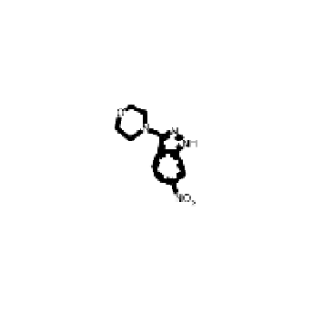 O=[N+]([O-])c1ccc2c(N3CCOCC3)n[nH]c2c1